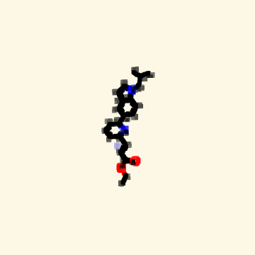 CCOC(=O)/C=C/c1cccc(-c2ccc3c(ccn3CC(C)C)c2)n1